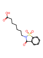 O=C(O)CCCCCCN1C(=O)c2ccccc2S1(=O)=O